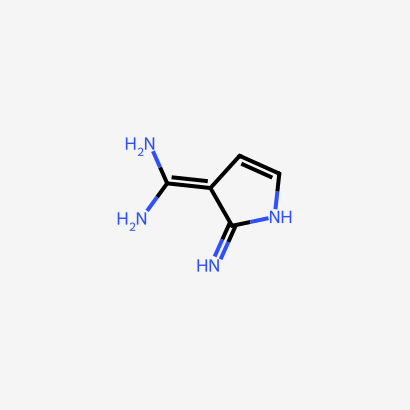 N=C1NC=CC1=C(N)N